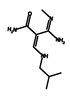 C/N=C(N)\C(=C/NCC(C)C)C(N)=O